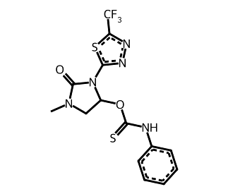 CN1CC(OC(=S)Nc2ccccc2)N(c2nnc(C(F)(F)F)s2)C1=O